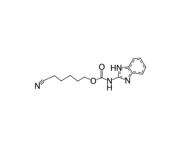 N#CCCCCCOC(=O)Nc1nc2ccccc2[nH]1